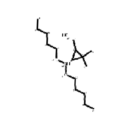 CC1CC1(C)C.CCCCCONOCCCCC.Cl